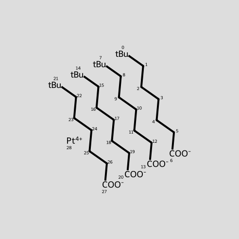 CC(C)(C)CCCCCC(=O)[O-].CC(C)(C)CCCCCC(=O)[O-].CC(C)(C)CCCCCC(=O)[O-].CC(C)(C)CCCCCC(=O)[O-].[Pt+4]